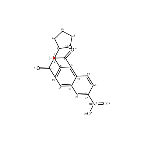 O=C1NC(=O)c2c(CC3CCCO3)c1cc1cc([N+](=O)[O-])ccc21